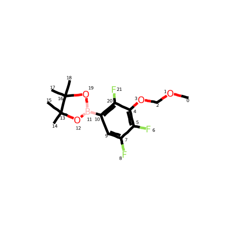 COCOc1c(F)c(F)cc(B2OC(C)(C)C(C)(C)O2)c1F